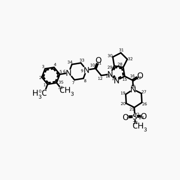 Cc1cccc(N2CCN(C(=O)Cn3nc(C(=O)N4CCC(S(C)(=O)=O)CC4)c4c3CCC4)CC2)c1C